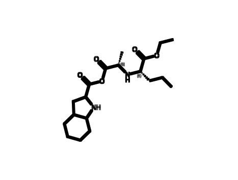 CCC[C@H](N[C@@H](C)C(=O)OC(=O)C1CC2CCCCC2N1)C(=O)OCC